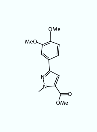 COC(=O)c1cc(-c2ccc(OC)c(OC)c2)nn1C